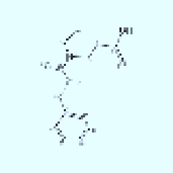 CCN(CCC(=O)O)C(=O)OCc1ccccc1